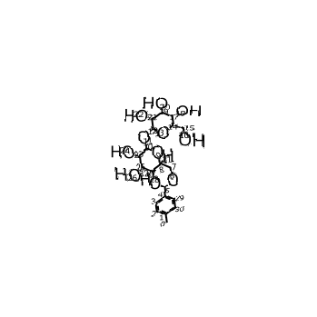 Cc1ccc(C2OC[C@H]3O[C@H](O[C@H]4O[C@H](CO)[C@@H](O)[C@H](O)[C@H]4O)[C@H](O)[C@@H](O)[C@@H]3O2)cc1